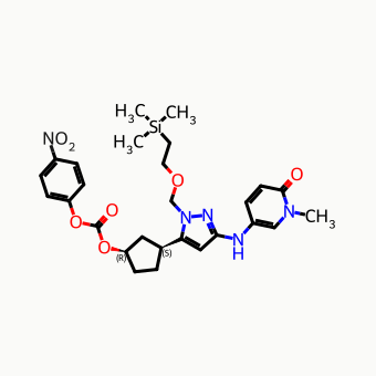 Cn1cc(Nc2cc([C@H]3CC[C@@H](OC(=O)Oc4ccc([N+](=O)[O-])cc4)C3)n(COCC[Si](C)(C)C)n2)ccc1=O